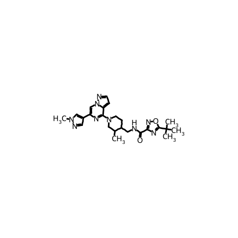 CC1CN(c2nc(-c3cnn(C)c3)cn3nccc23)CCC1CNC(=O)c1noc(C(C)(C)C)n1